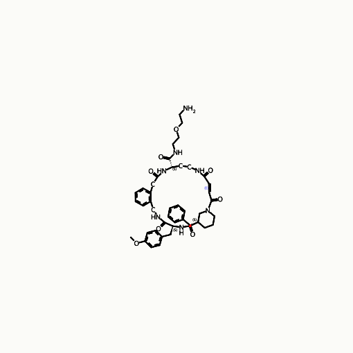 COc1ccc(C[C@@H]2NC(=O)[C@]3(Cc4ccccc4)CCCN(C3)C(=O)/C=C/C(=O)NCC[C@@H](C(=O)NCCOCCN)NC(=O)Cc3ccccc3CNC2=O)cc1